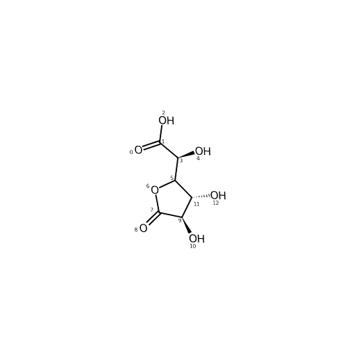 O=C(O)[C@@H](O)C1OC(=O)[C@H](O)[C@H]1O